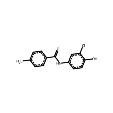 [CH2]c1ccc(C(=O)Nc2ccc(O)c(Cl)c2)cc1